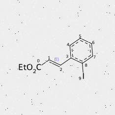 CCOC(=O)/C=C/c1ccccc1I